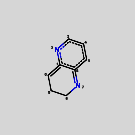 C1=c2ncccc2=NCC1